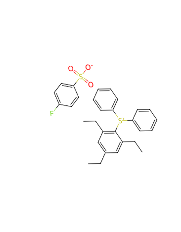 CCc1cc(CC)c([S+](c2ccccc2)c2ccccc2)c(CC)c1.O=S(=O)([O-])c1ccc(F)cc1